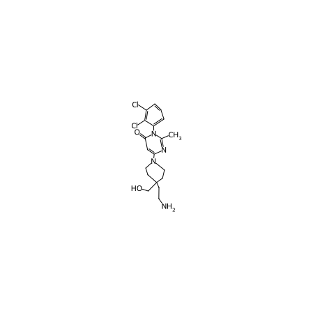 Cc1nc(N2CCC(CO)(CCN)CC2)cc(=O)n1-c1cccc(Cl)c1Cl